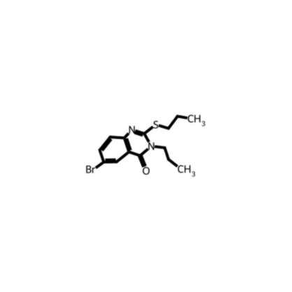 CCCSc1nc2ccc(Br)cc2c(=O)n1CCC